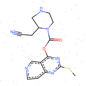 CSc1nc(OC(=O)N2CCNCC2CC#N)c2cnccc2n1